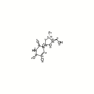 O=c1[nH]c(=O)n([C@H]2C[C@H](F)[C@@H](CO)O2)cc1Cl